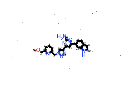 COCc1cccc(Cn2cc(-c3cc(-c4ccc5cc[nH]c5c4)nc(N)n3)nn2)n1